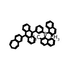 Cc1ccc2ccccc2c1B(c1cccc(-c2c3ccccc3c(-c3ccc4c(c3)C=CCC=C4)c3ccccc23)c1)c1c(C)ccc2ccccc12